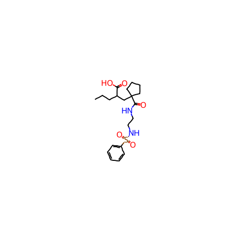 CCCC(CC1(C(=O)NCCNS(=O)(=O)c2ccccc2)CCCC1)C(=O)O